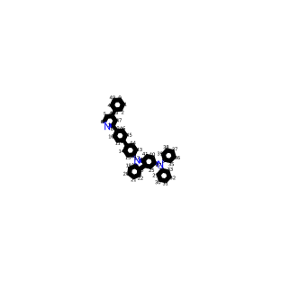 c1ccc(-c2ccnc(-c3ccc(-c4ccc(-n5c6ccccc6c6cc(N(c7ccccc7)c7ccccc7)ccc65)cc4)cc3)c2)cc1